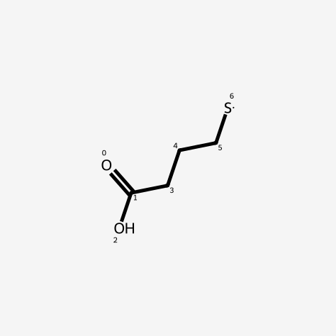 O=C(O)CCC[S]